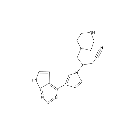 N#CCC(CN1CCNCC1)n1ccc(-c2ncnc3[nH]ccc23)c1